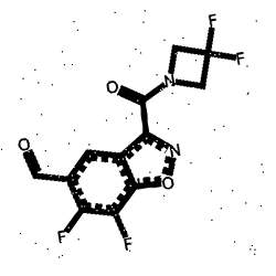 O=Cc1cc2c(C(=O)N3CC(F)(F)C3)noc2c(F)c1F